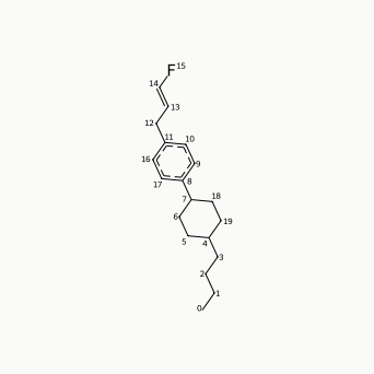 CCCCC1CCC(c2ccc(CC=CF)cc2)CC1